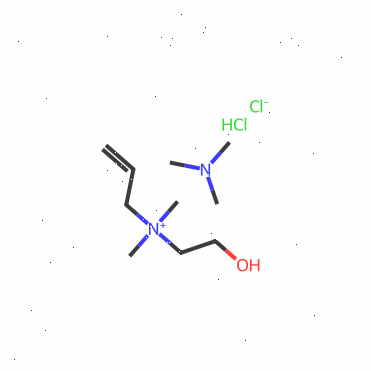 C=CC[N+](C)(C)CCO.CN(C)C.Cl.[Cl-]